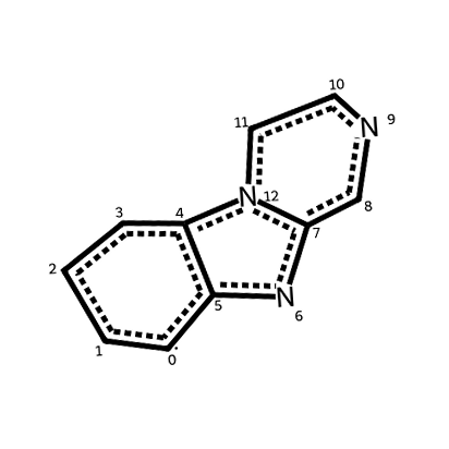 [c]1cccc2c1nc1cnccn12